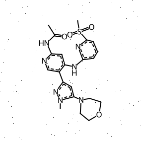 CC(=O)Nc1cc(Nc2cccc(S(C)(=O)=O)n2)c(-c2cc(N3CCOCC3)n(C)n2)cn1